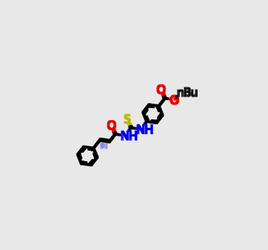 CCCCOC(=O)c1ccc(NC(=S)NC(=O)/C=C/c2ccccc2)cc1